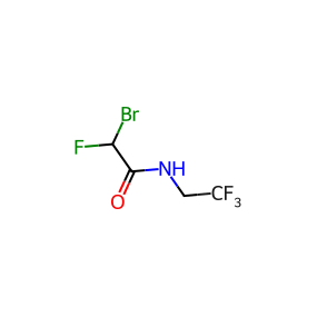 O=C(NCC(F)(F)F)C(F)Br